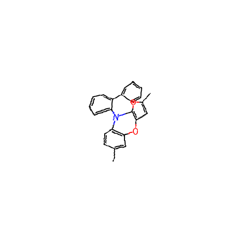 Cc1ccc2c(c1)Oc1cc(C)oc1N2c1ccccc1-c1ccccc1